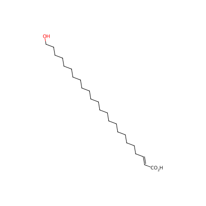 O=C(O)C=CCCCCCCCCCCCCCCCCCCCCCO